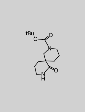 CC(C)(C)OC(=O)N1CCCC2(CCCNC2=O)C1